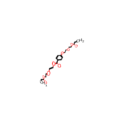 C=CC(=O)OCCOCCOC(=O)c1ccc(OCCOCCOC(=O)C=C)cc1